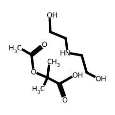 CC(=O)OC(C)(C)C(=O)O.OCCNCCO